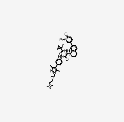 Cc1nn(COCCS(C)(C)C)c(C)c1-c1ccc(NC(=O)[C@@H](NC(=O)C2(F)CC2)[C@@H]2CCCc3ccc(-c4ccc(=O)n(C(C)C)c4)cc32)cc1